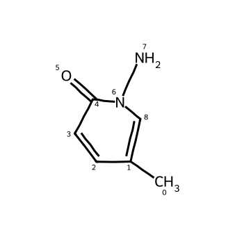 Cc1ccc(=O)n(N)c1